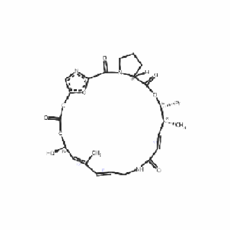 CC1=C\[C@@H](O)CC(=O)Cc2cnc(o2)C(=O)N2CCC[C@@H]2C(=O)O[C@H](C(C)C)[C@H](C)/C=C/C(=O)NC\C=C\1